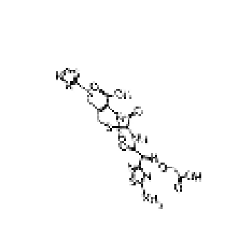 Nc1nc(C(=NOCC(=O)O)C(=O)NC2C(=O)N3C(C(=O)O)=C(CSc4nncs4)CS[C@@H]23)ns1